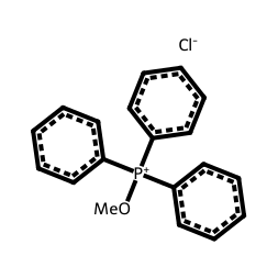 CO[P+](c1ccccc1)(c1ccccc1)c1ccccc1.[Cl-]